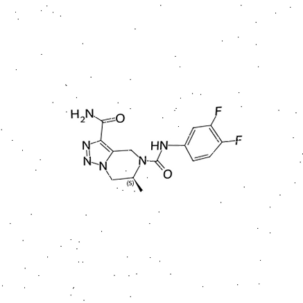 C[C@H]1Cn2nnc(C(N)=O)c2CN1C(=O)Nc1ccc(F)c(F)c1